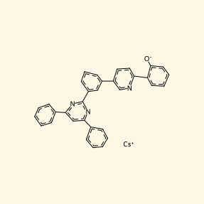 [Cs+].[O-]c1ccccc1-c1ccc(-c2cccc(-c3nc(-c4ccccc4)cc(-c4ccccc4)n3)c2)cn1